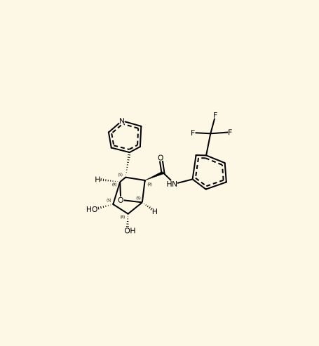 O=C(Nc1cccc(C(F)(F)F)c1)[C@H]1[C@@H]2O[C@@H]([C@@H](O)[C@H]2O)[C@@H]1c1ccncc1